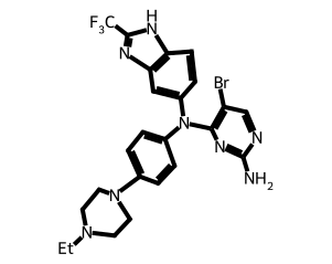 CCN1CCN(c2ccc(N(c3ccc4[nH]c(C(F)(F)F)nc4c3)c3nc(N)ncc3Br)cc2)CC1